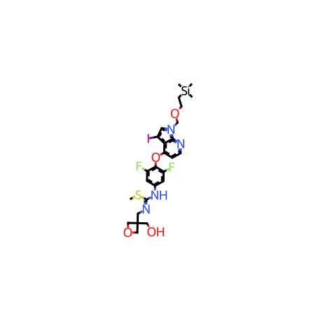 CS/C(=N\CC1(CO)COC1)Nc1cc(F)c(Oc2ccnc3c2c(I)cn3COCC[Si](C)(C)C)c(F)c1